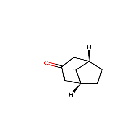 O=C1C[C@@H]2[CH][C@@H](CC2)C1